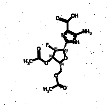 CC(=O)OC[C@H]1O[C@@H](c2nc(C(=O)O)c(N)[nH]2)[C@H](F)[C@@H]1OC(C)=O